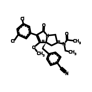 CCN(C(C)=O)[C@@H]1CN2C(=O)C(c3cc(Cl)cc(Cl)c3)=C(OC)[C@]2(Cc2ccc(C#N)cc2)C1